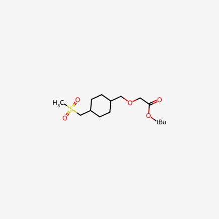 CC(C)(C)OC(=O)COCC1CCC(CS(C)(=O)=O)CC1